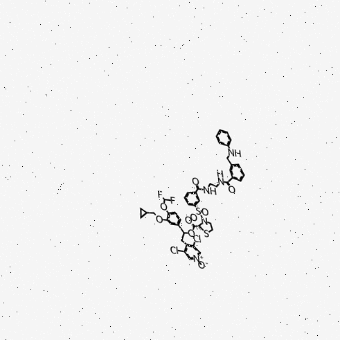 O=C(NCCNC(=O)c1cccc(S(=O)(=O)N2CCS[C@H]2C(=O)OC(Cc2c(Cl)c[n+]([O-])cc2Cl)c2ccc(OC(F)F)c(OCC3CC3)c2)c1)c1cccc(CNc2ccccc2)c1